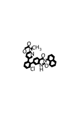 CN1C(=O)COc2cc(-c3cccc(Cl)c3-c3ccc4c(=O)n(-c5cccc6ccccc56)c(=O)[nH]c4c3)cnc21